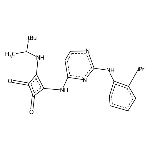 CC(C)c1ccccc1Nc1nccc(Nc2c(NC(C)C(C)(C)C)c(=O)c2=O)n1